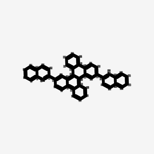 c1ccc2nc(-c3ccc4c5ccccc5c5c6cc(-c7ccc8ccccc8n7)ccc6c6ccccc6c5c4c3)ccc2c1